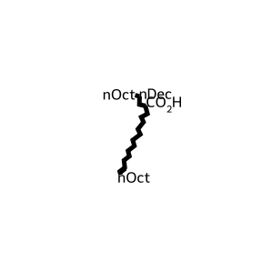 CCCCCCCCC=CCCCCCCCCCCC(CC(CCCCCCCC)CCCCCCCCCC)C(=O)O